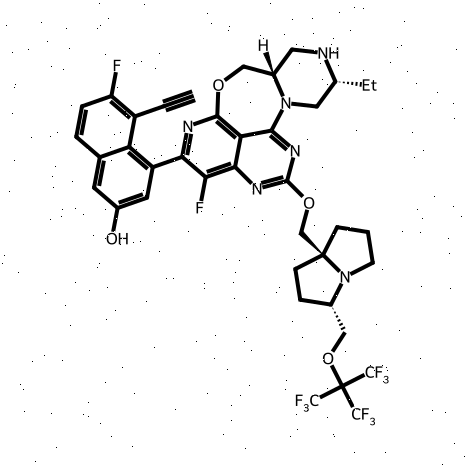 C#Cc1c(F)ccc2cc(O)cc(-c3nc4c5c(nc(OC[C@@]67CCCN6[C@H](COC(C(F)(F)F)(C(F)(F)F)C(F)(F)F)CC7)nc5c3F)N3C[C@@H](CC)NC[C@H]3CO4)c12